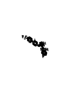 C[C@@H]1CN(Cc2c[nH]nc2-c2nc3cc(F)ccc3[nH]2)CCN1c1ccc(C(F)(F)F)cn1